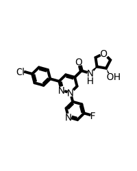 O=C(N[C@H]1COC[C@@H]1O)C1=CC(c2ccc(Cl)cc2)=NN(c2cncc(F)c2)C1